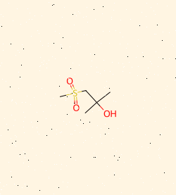 CC(C)(O)CS(C)(=O)=O